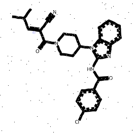 CC(C)/C=C(\C#N)C(=O)N1CCC(n2c(NC(=O)c3ccc(Cl)cc3)nc3ccccc32)CC1